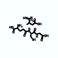 CN(CC(=O)O)C(=N)N.NC(CCC(=O)NC(CS)C(=O)NCC(=O)O)C(=O)O